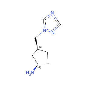 N[C@@H]1CC[C@H](Cn2cncn2)C1